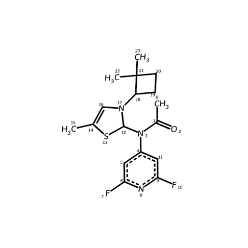 CC(=O)N(c1cc(F)nc(F)c1)C1SC(C)=CN1C1CCC1(C)C